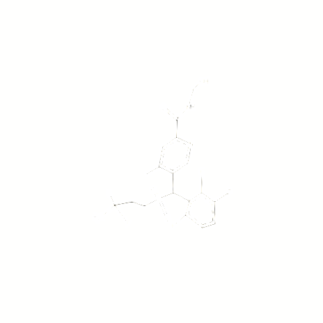 Cc1cc(C(=O)NCO)ncc1C(c1c(F)ccc(F)c1F)S(=O)(=O)CCC(F)(F)C(F)(F)F